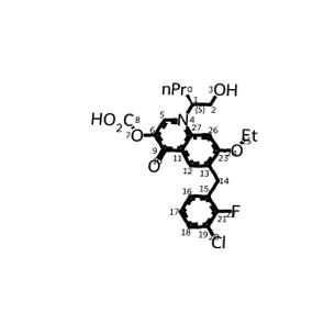 CCC[C@@H](CO)n1cc(OC(=O)O)c(=O)c2cc(Cc3cccc(Cl)c3F)c(OCC)cc21